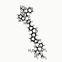 COC(=O)NC(C(=O)N1[C@H](c2ncc(-c3ccc4c(c3)COc3cc5c(ccc6nc([C@@H]7CC[C@H](C)N7C(=O)[C@@H](NC(=O)OC)C(C)C)[nH]c65)cc3-4)[nH]2)C[C@@H]2CCC[C@@H]21)C1CCOCC1